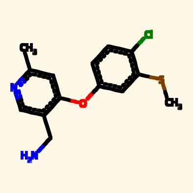 CSc1cc(Oc2cc(C)ncc2CN)ccc1Cl